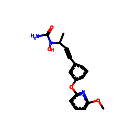 COc1cccc(Oc2cccc(C#CC(C)N(O)C(N)=O)c2)n1